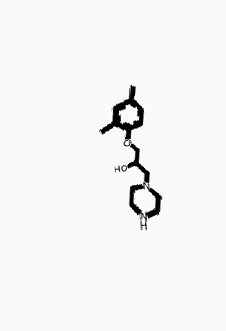 Cc1ccc(OCC(O)CN2CCNCC2)c(C)c1